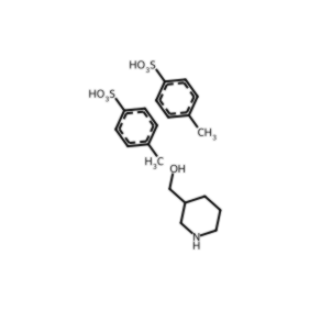 Cc1ccc(S(=O)(=O)O)cc1.Cc1ccc(S(=O)(=O)O)cc1.OCC1CCCNC1